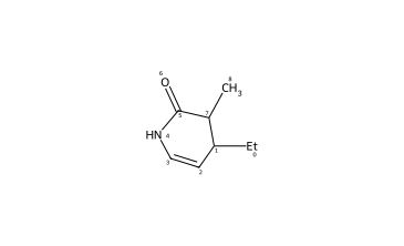 CCC1C=CNC(=O)C1C